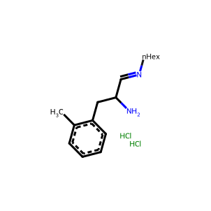 CCCCCCN=CC(N)Cc1ccccc1C.Cl.Cl